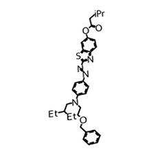 CCC(CC)CN(CCOCc1ccccc1)c1ccc(/N=N/c2nc3ccc(OC(=O)CC(C)C)cc3s2)cc1